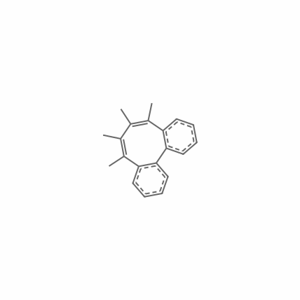 CC1=C(C)c2ccccc2-c2ccccc2C(C)=C1C